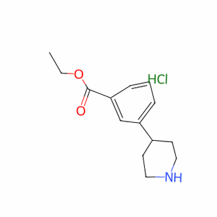 CCOC(=O)c1cccc(C2CCNCC2)c1.Cl